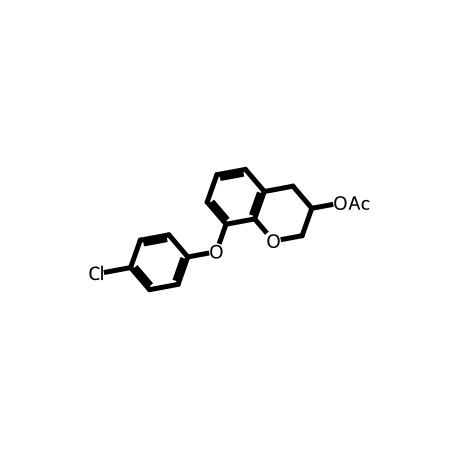 CC(=O)OC1COc2c(cccc2Oc2ccc(Cl)cc2)C1